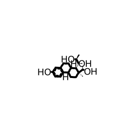 C[C@H](O)[C@H](O)[C@H]1[C@@H]2CCc3cc(O)ccc3[C@H]2CC[C@]1(C)[C@H](C)O